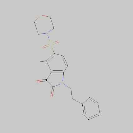 Cc1c(S(=O)(=O)N2CCOCC2)ccc2c1C(=O)C(=O)N2CCc1ccccc1